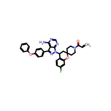 C=CC(=O)N1CCC2(CC1)CC(n1nc(-c3ccc(Oc4ccccc4)cc3)c3c(N)ncnc31)c1ccc(F)cc1O2